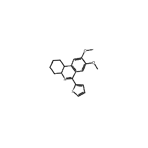 COc1cc2c(cc1OC)C1CCCCC1N=C2c1cccs1